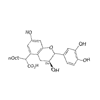 CCCCCCCCC(C(=O)O)c1cc(O)cc2c1C[C@H](O)C(c1ccc(O)c(O)c1)O2